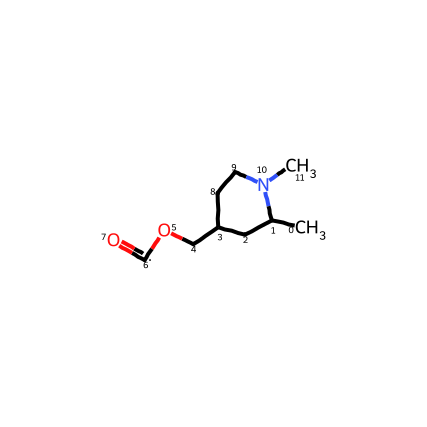 CC1CC(CO[C]=O)CCN1C